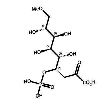 COC[C@@H](O)[C@@H](O)[C@H](O)[C@H](O)[C@H](CC(=O)C(=O)O)OP(=O)(O)O